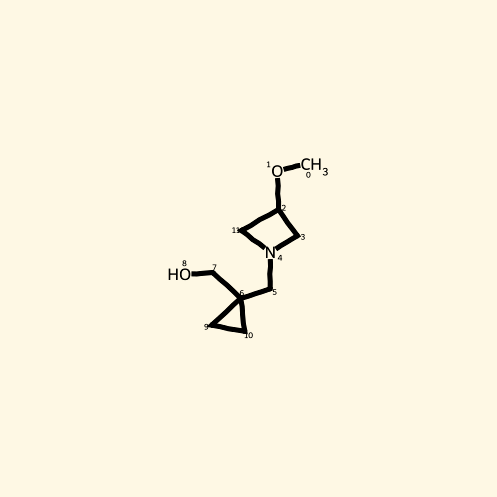 COC1CN(CC2(CO)CC2)C1